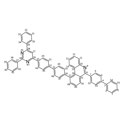 c1ccc(-c2ccc(-c3nc4ccccc4c4c(-c5ccc(-c6ccc(-c7cc(-c8ccccc8)nc(-c8ccccc8)n7)cc6)cc5)cccc34)cc2)cc1